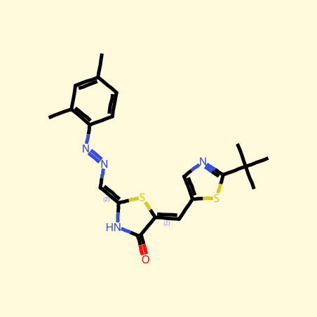 Cc1ccc(N=N/C=c2/[nH]c(=O)/c(=C/c3cnc(C(C)(C)C)s3)s2)c(C)c1